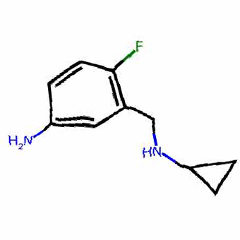 Nc1ccc(F)c(CNC2CC2)c1